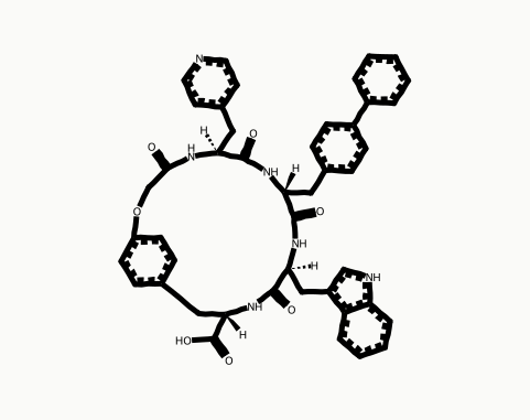 O=C1COc2ccc(cc2)C[C@@H](C(=O)O)NC(=O)[C@H](Cc2c[nH]c3ccccc23)NC(=O)[C@@H](Cc2ccc(-c3ccccc3)cc2)NC(=O)[C@H](Cc2ccncc2)N1